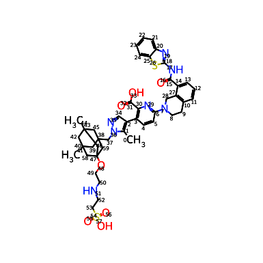 Cc1c(-c2ccc(N3CCc4cccc(C(=O)Nc5nc6ccccc6s5)c4C3)nc2C(=O)O)cnn1CC12CC3(C)CC(C)(C1)CC(OCCNCCS(=O)(=O)O)(C3)C2